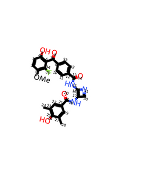 COc1ccc(O)c(C(=O)c2ccc(C(=O)NC3=C(NC(=O)c4cc(C)c(O)c(C)c4)C=N3)cc2)c1F